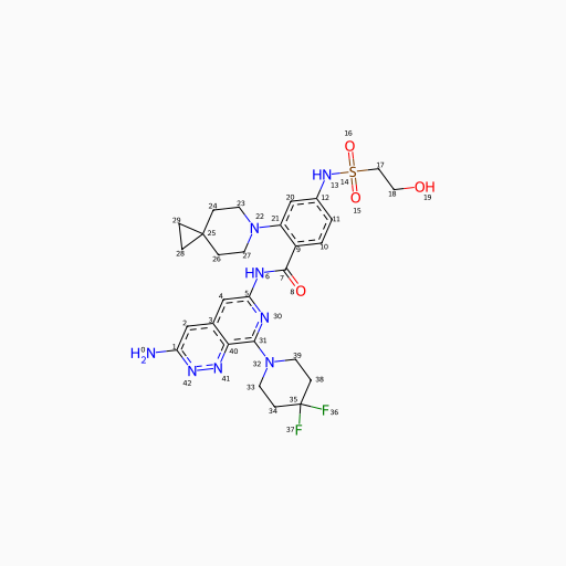 Nc1cc2cc(NC(=O)c3ccc(NS(=O)(=O)CCO)cc3N3CCC4(CC3)CC4)nc(N3CCC(F)(F)CC3)c2nn1